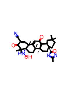 Cc1noc([C@]23CCC(C)(C)CC2C2C(=O)C=C4[C@@]5(C)C=C(C#N)C(=O)C(C)(C)[C@]5(NO)CC[C@@]4(C)[C@]2(C)CC3)n1